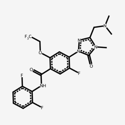 CN(C)Cc1nn(-c2cc(OCC(F)(F)F)c(C(=O)Nc3c(F)cccc3F)cc2F)c(=O)n1C